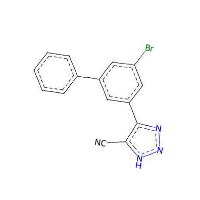 N#Cc1[nH]nnc1-c1cc(Br)cc(-c2ccccc2)c1